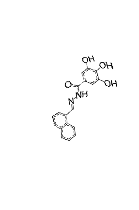 O=C(NN=Cc1cccc2ccccc12)c1cc(O)c(O)c(O)c1